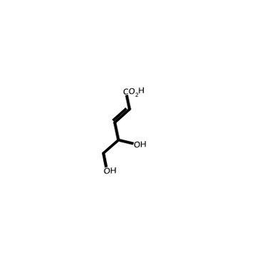 O=C(O)C=CC(O)CO